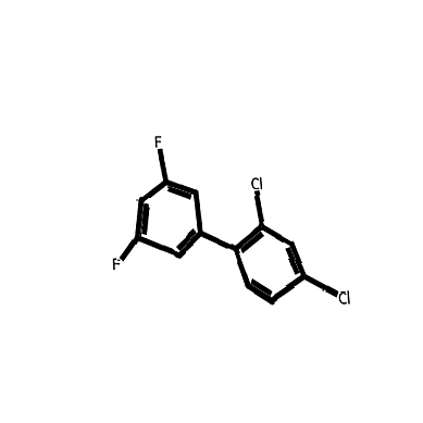 Fc1[c]c(F)cc(-c2ccc(Cl)cc2Cl)c1